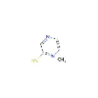 C.Sc1cnccn1